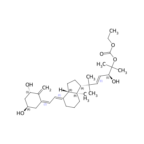 C=C1/C(=C\C=C2/CCC[C@]3(C)[C@@H](C(C)(C)/C=C/[C@H](O)C(C)(C)OC(=O)OCC)CC[C@@H]23)C[C@@H](O)C[C@@H]1O